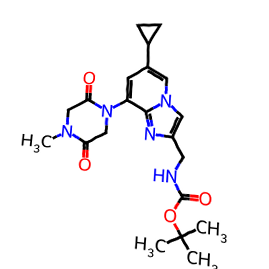 CN1CC(=O)N(c2cc(C3CC3)cn3cc(CNC(=O)OC(C)(C)C)nc23)CC1=O